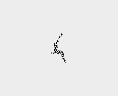 CCCCCCCCCCCCOc1cnc(-c2ccc(C(=O)O)c(-c3ccc(C(=O)O[C@H](CCCCCCCC)C(F)(F)F)cc3)c2)nc1